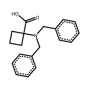 O=C(O)C1(N(Cc2ccccc2)Cc2ccccc2)CCC1